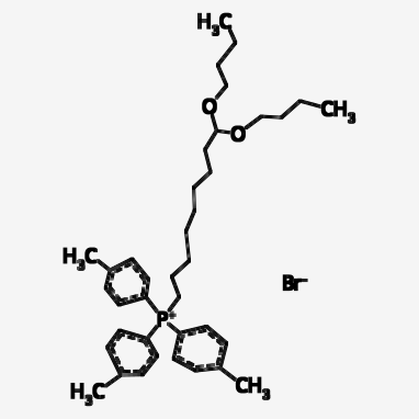 CCCCOC(CCCCCCCC[P+](c1ccc(C)cc1)(c1ccc(C)cc1)c1ccc(C)cc1)OCCCC.[Br-]